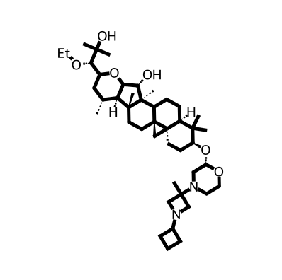 CCO[C@@H](C1C[C@@H](C)[C@H]2C(O1)[C@H](O)[C@@]1(C)C3CC[C@H]4C(C)(C)[C@@H](O[C@H]5CN(C6(C)CN(C7CCC7)C6)CCO5)CC[C@@]45C[C@@]35CC[C@]21C)C(C)(C)O